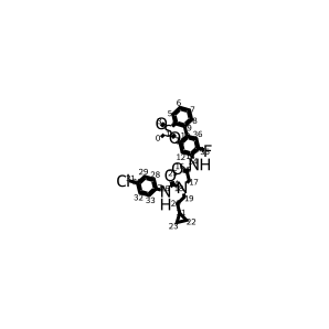 CS(=O)(=O)c1ccccc1-c1ccc(NC(=O)CN(CCC2CC2)C(=O)Nc2ccc(Cl)cc2)c(F)c1